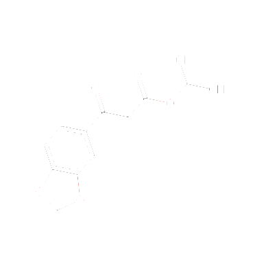 CC(C)OC(=O)CC(=O)c1ccc2c(c1)OCO2